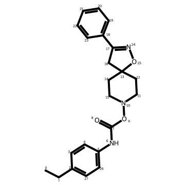 CCc1ccc(NC(=O)ON2CCC3(CC2)CC(c2ccccc2)=NO3)cc1